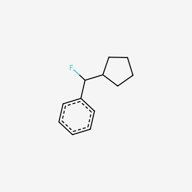 FC(c1ccccc1)C1CCCC1